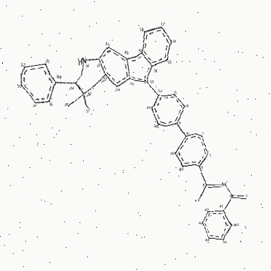 C=C(/N=C(\C)c1ccc(-c2ccc(-n3c4ccccc4c4cc5c(cc43)C(C)(C)C(c3ccccc3)N5)cc2)cc1)c1ccccc1